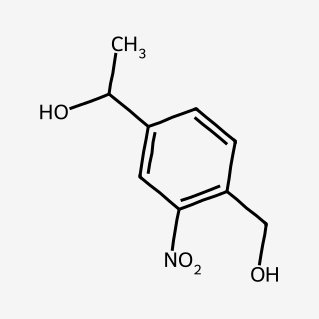 CC(O)c1ccc(CO)c([N+](=O)[O-])c1